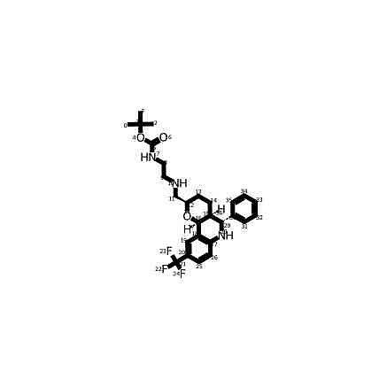 CC(C)(C)OC(=O)NCCNC[C@H]1CC[C@@H]2[C@H](O1)c1cc(C(F)(F)F)ccc1N[C@H]2c1ccccc1